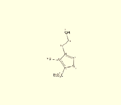 CCOC(=O)c1scc(CCO)c1F